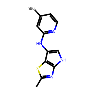 CCCCc1ccnc(Nc2c[nH]c3nc(C)sc23)c1